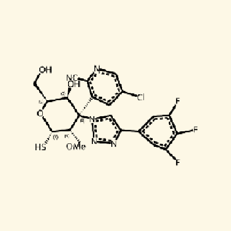 CO[C@@H]1[C@H](S)O[C@@H](CO)[C@@H](O)[C@@]1(c1cc(Cl)cnc1C#N)n1cc(-c2cc(F)c(F)c(F)c2)nn1